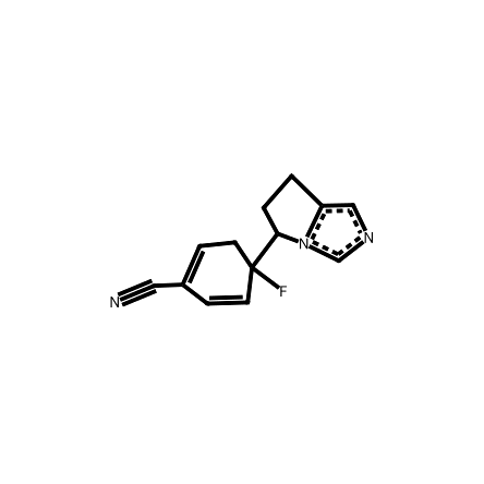 N#CC1=CCC(F)(C2CCc3cncn32)C=C1